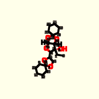 CC[C@@]1(O)[C@@H]([C@H]2COC3(CCCCC3)O2)O[C@@H]2OC3(CCCCC3)O[C@@H]21